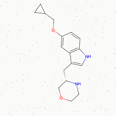 c1cc2[nH]cc(C[C@H]3COCCN3)c2cc1OCC1CC1